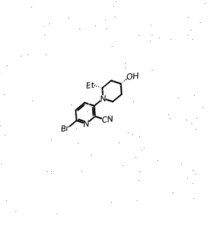 CC[C@@H]1C[C@H](O)CCN1c1ccc(Br)nc1C#N